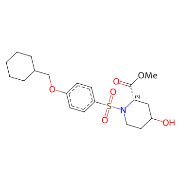 COC(=O)[C@@H]1CC(O)CCN1S(=O)(=O)c1ccc(OCC2CCCCC2)cc1